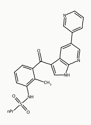 CCCS(=O)(=O)Nc1cccc(C(=O)c2c[nH]c3ncc(-c4cccnc4)cc23)c1C